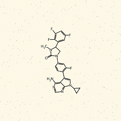 CN1C(=O)N(c2ccc(-c3cn(C4CC4)c4ncnc(N)c34)c(F)c2)CC1c1cc(F)cc(F)c1F